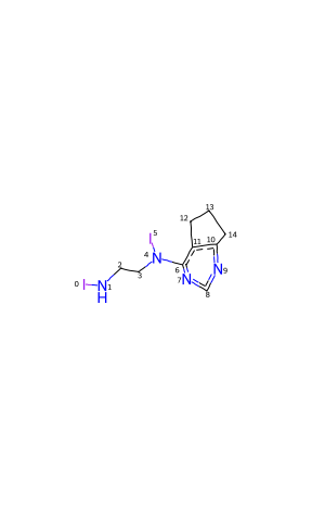 INCCN(I)c1ncnc2c1CCC2